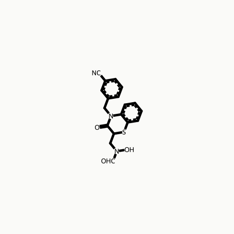 N#Cc1cccc(CN2C(=O)C(CN(O)C=O)Sc3ccccc32)c1